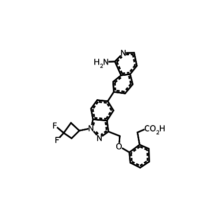 Nc1nccc2ccc(-c3ccc4c(c3)c(COc3ccccc3CC(=O)O)nn4C3CC(F)(F)C3)cc12